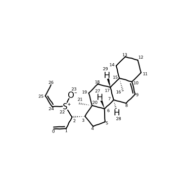 C=CC([C@H]1CC[C@H]2[C@@H]3CC=C4CCCC[C@]4(C)[C@H]3CC[C@]12C)[S+]([O-])/C=C\C